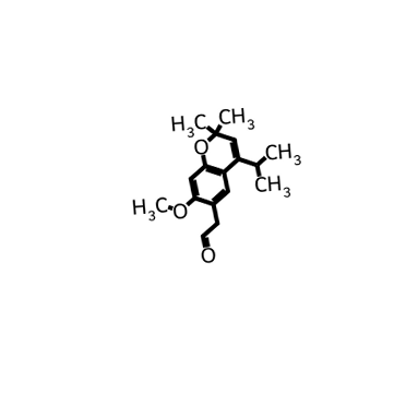 COc1cc2c(cc1CC=O)C(C(C)C)=CC(C)(C)O2